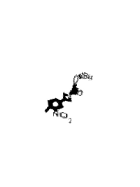 Cc1ccc(C2CN(C(=O)OC(C)(C)C)C2)cc1[N+](=O)[O-]